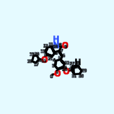 COc1ccc(/C=C2/C(=O)Nc3ccc(OC4CCCC4)cc32)cc1O[C@H]1C[C@@H]2CCC1C2